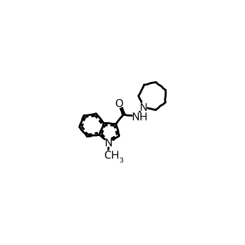 Cn1cc(C(=O)NN2CCCCCC2)c2ccccc21